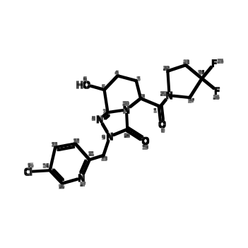 O=C(C1CCC(O)c2nn(Cc3ccc(Cl)cn3)c(=O)n21)N1CCC(F)(F)C1